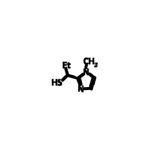 CCC(S)c1nccn1C